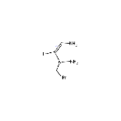 CC/C(=C/N)N(N)CC(C)C